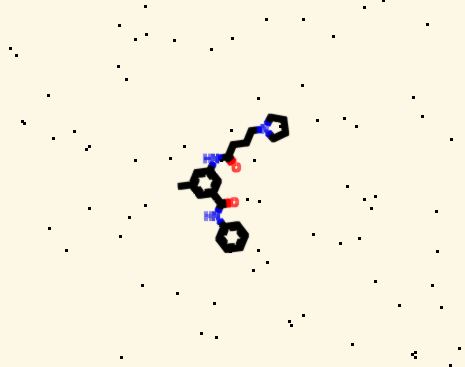 Cc1cc(NC(=O)CCCN2CCCC2)cc(C(=O)Nc2ccccc2)c1